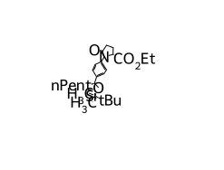 CCCCC[C@H](O[Si](C)(C)C(C)(C)C)c1ccc(N2C(=O)CCC2C(=O)OCC)cc1